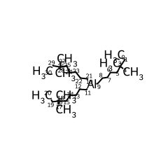 CCC(C)(C)CCCC[CH2][Al]([CH2]CCCCC(C)(C)CC)[CH2]CCCCC(C)(C)CC